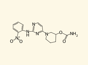 NC(=O)OC1CCCN(c2ccnc(Nc3ccccc3[N+](=O)[O-])n2)C1